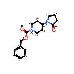 O=C(OCc1ccccc1)N1CCC(N2CCCC2=O)CC1